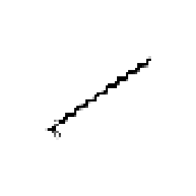 CCCCCCC/C=C/CCCC/C=C/CCCOC(C)=O